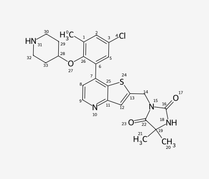 Cc1cc(Cl)cc(-c2ccnc3cc(CN4C(=O)NC(C)(C)C4=O)sc23)c1OC1CCNCC1